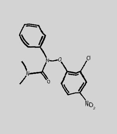 CN(C)C(=O)N(Oc1ccc([N+](=O)[O-])cc1Cl)c1ccccc1